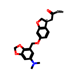 COC(=O)C[C@@H]1COc2cc(OCc3cc(N(C)C)cc4c3OCO4)ccc21